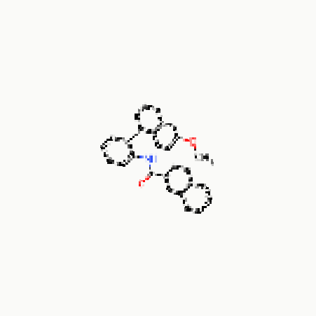 COc1ccc2c(-c3ccccc3NC(=O)c3ccc4ccccc4c3)cccc2c1